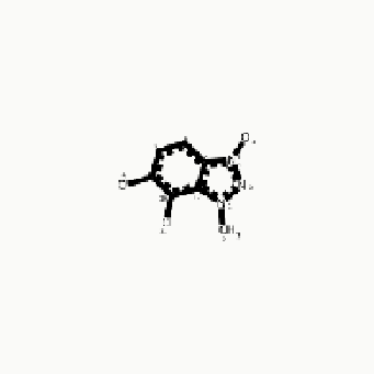 Cn1n[n+]([O-])c2ccc(Cl)c(Cl)c21